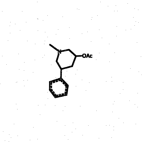 CC(=O)OC1CC(c2ccccc2)CN(C)C1